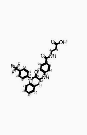 O=C(O)CCNC(=O)c1ccc(N[C@@H](Cc2ccccc2)C(=O)Nc2ccc(C(F)(F)F)cc2)cc1